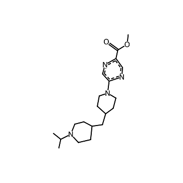 COC(=O)c1cnc(N2CCC(CC3CCN(C(C)C)CC3)CC2)cn1